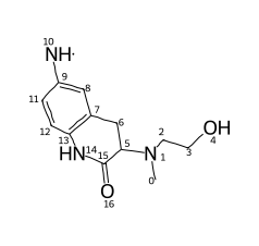 CN(CCO)C1Cc2cc([NH])ccc2NC1=O